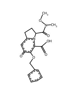 CON(C)C(=O)C1CCc2cc(=O)c(OCc3ccccc3)c(C(=O)O)n21